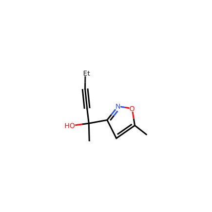 CCC#CC(C)(O)c1cc(C)on1